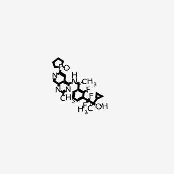 Cc1nc(N[C@H](C)c2cccc(C(F)(F)[C@@](C)(O)C3CC3)c2F)c2cc(P3(=O)CCCC3)ncc2n1